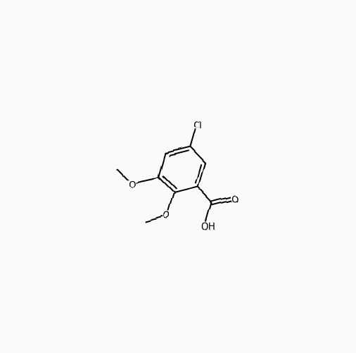 COc1cc(Cl)cc(C(=O)O)c1OC